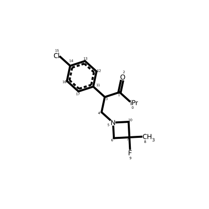 CC(C)C(=O)C(CN1CC(C)(F)C1)c1ccc(Cl)cc1